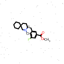 COC(=O)c1cc(F)cc(C[C@@H]2CCC3(CCCCC3)CN2C)c1